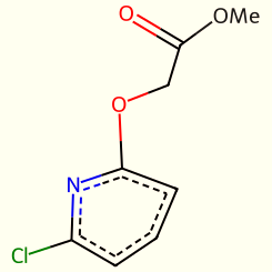 COC(=O)COc1cccc(Cl)n1